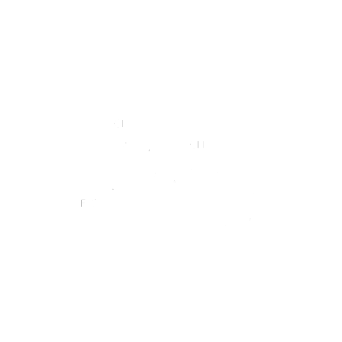 CC1C(c2cc(C(F)(F)F)cc(C(F)(F)F)c2)=[C]c2ccccc21